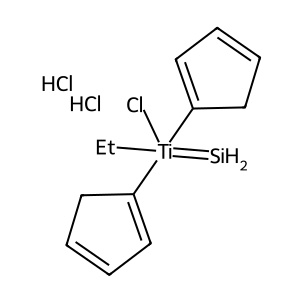 C[CH2][Ti](=[SiH2])([Cl])([C]1=CC=CC1)[C]1=CC=CC1.Cl.Cl